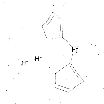 C1=CC[C]([Hf][C]2=CC=CC2)=C1.[H-].[H-]